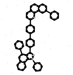 c1ccc(-c2ccc3ccc4ccc(-c5ccc(-c6ccc(-c7nn(-c8ccccc8)c8c7c(-c7ccccc7)cc7ccccc78)cc6)cc5)nc4c3c2)cc1